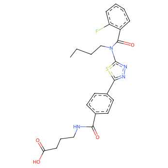 CCCCN(C(=O)c1ccccc1F)c1nnc(-c2ccc(C(=O)NCCCC(=O)O)cc2)s1